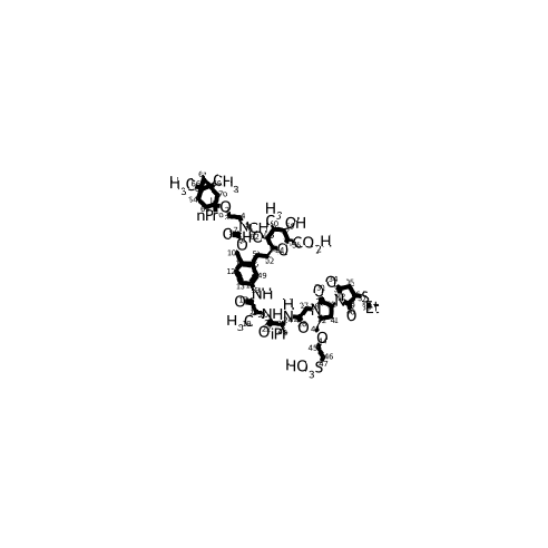 CCCC1(OCCN(C)C(=O)OCc2ccc(NC(=O)[C@H](C)NC(=O)[C@@H](NC(=O)CN3C(=O)[C@@H](N4C(=O)CC(SCC)C4=O)C[C@H]3COCCS(=O)(=O)O)C(C)C)cc2CC[C@@H]2O[C@H](C(=O)O)[C@@H](O)[C@H](C)[C@H]2O)CCC2(C)CC2(C)C1